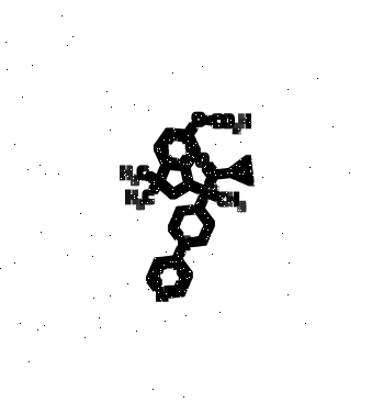 CC1(C)CC([N+](C)(C(=O)C2CC2)C2CCN(c3ccncc3)CC2)c2cc(OC(=O)O)ccc21